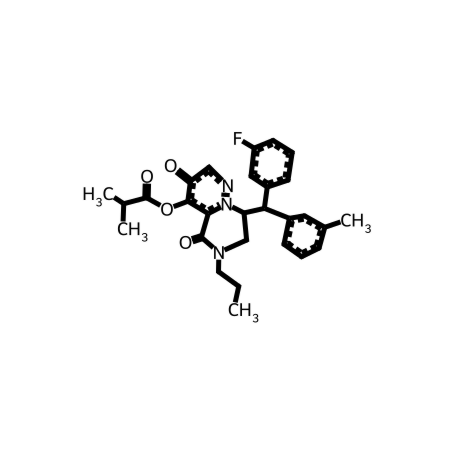 CCCN1CC(C(c2cccc(C)c2)c2cccc(F)c2)n2ncc(=O)c(OC(=O)C(C)C)c2C1=O